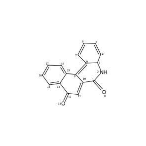 O=C1NC2C=CC=CC2=C2C1=CC(=O)c1ccccc12